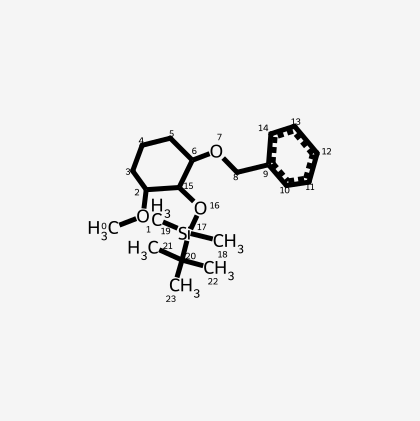 COC1CCCC(OCc2ccccc2)C1O[Si](C)(C)C(C)(C)C